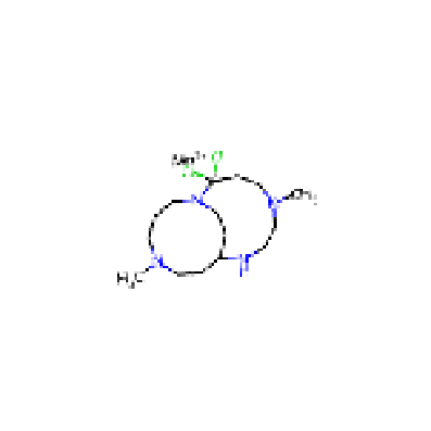 CN1CCCN2CCC(CC1)NCCN(C)CCC2(Cl)Cl.[Mn+2]